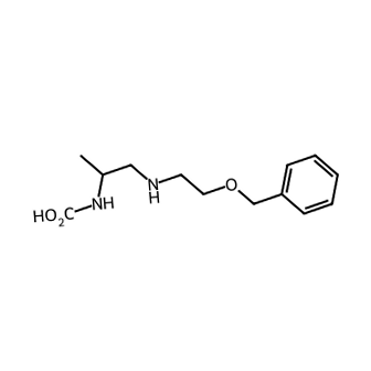 CC(CNCCOCc1ccccc1)NC(=O)O